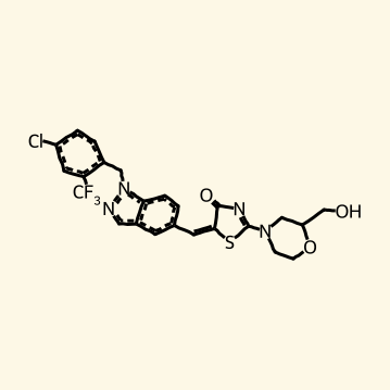 O=C1N=C(N2CCOC(CO)C2)S/C1=C/c1ccc2c(cnn2Cc2ccc(Cl)cc2C(F)(F)F)c1